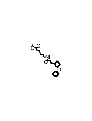 COC(=O)CCCCCNC(=O)C=Cc1cccc(Oc2ccccc2)c1